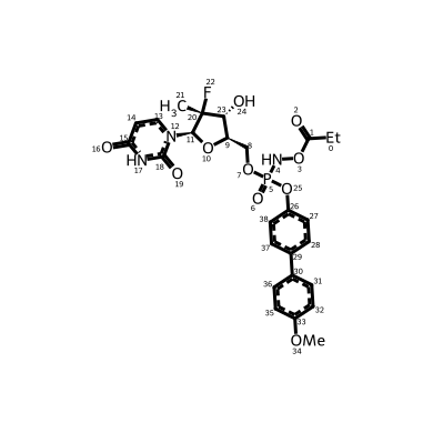 CCC(=O)ONP(=O)(OC[C@H]1O[C@@H](n2ccc(=O)[nH]c2=O)[C@](C)(F)[C@@H]1O)Oc1ccc(-c2ccc(OC)cc2)cc1